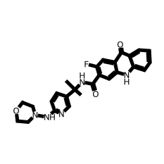 CC(C)(NC(=O)c1cc2[nH]c3ccccc3c(=O)c2cc1F)c1ccc(NN2CCOCC2)nc1